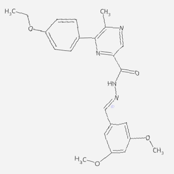 CCOc1ccc(-c2nc(C(=O)N/N=C/c3cc(OC)cc(OC)c3)cnc2C)cc1